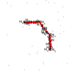 CN(C)CCNC(=O)c1ccc(-c2nc3cc(-c4ccc5[nH]c(-c6ccc(C(=O)NCCN(C)CCCC/C(N)=C/N(N)CCCNC(=O)CCC(=O)NCCCn7cc(CCCCN(C)CCNC(=O)c8ccc(-c9nc%10cc(-c%11ccc%12[nH]c(-c%13ccc(C(=O)NCCN(C)C)cc%13)nc%12c%11)ccc%10[nH]9)cc8)nn7)cc6)nc5c4)ccc3[nH]2)cc1